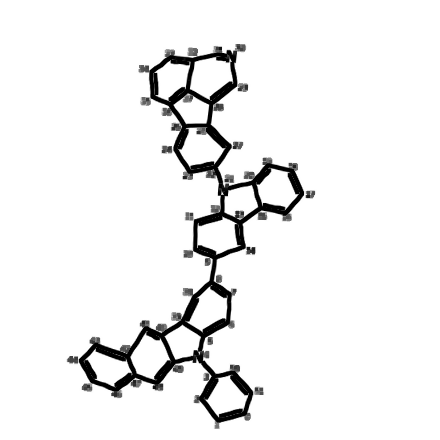 c1ccc(-n2c3ccc(-c4ccc5c(c4)c4ccccc4n5-c4ccc5c(c4)-c4cncc6cccc-5c46)cc3c3cc4ccccc4cc32)cc1